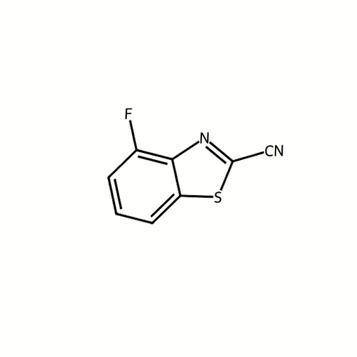 N#Cc1nc2c(F)cccc2s1